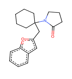 O=C1CCCN1C1(Cc2cc3ccccc3o2)CCCCC1